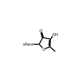 CCCCCC1OC(C)=C(O)C1=O